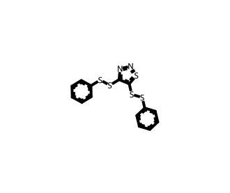 c1ccc(SSc2nnsc2SSc2ccccc2)cc1